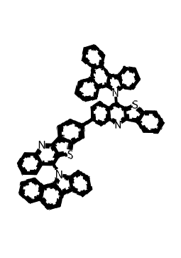 c1ccc2c(c1)ccc1c3ccccc3n(-c3c4ccccc4nc4c3sc3cc(-c5ccc6c(-n7c8ccccc8c8c9ccccc9c9ccccc9c87)c7sc8ccccc8c7nc6c5)ccc34)c21